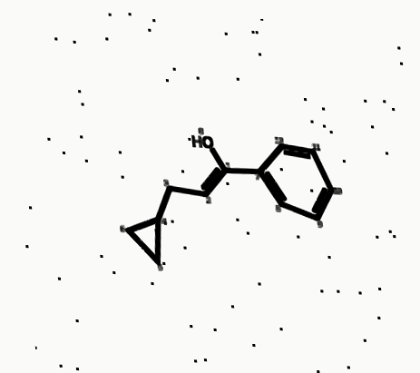 O/C(=C\CC1CC1)c1ccccc1